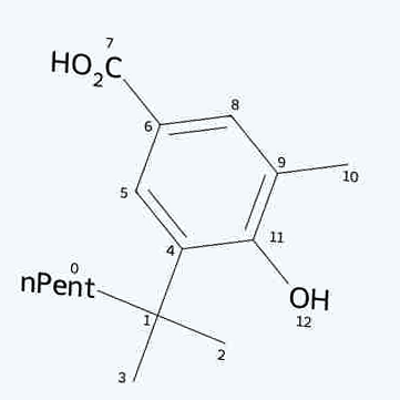 CCCCCC(C)(C)c1cc(C(=O)O)cc(C)c1O